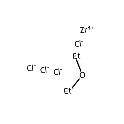 CCOCC.[Cl-].[Cl-].[Cl-].[Cl-].[Zr+4]